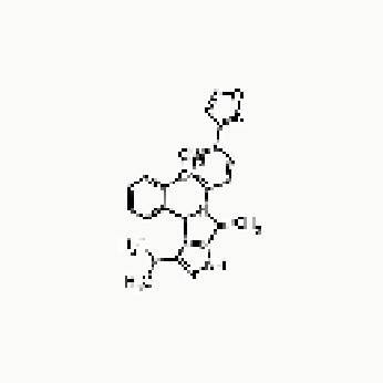 C=C1c2[nH]nc(C(C)C)c2C(c2ccccc2OC)N1c1ccc(-c2ccon2)cc1